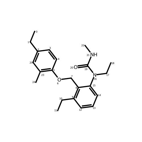 CCc1ccc(OCc2c(CC)cccc2N(CC)C(=O)NC)c(C)c1